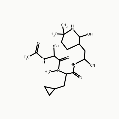 CN(C(=O)C(NC(=O)C(F)(F)F)C(C)(C)C)C(CC1CC1)C(=O)NC(C#N)CC1CCC(C)(C)NC1O